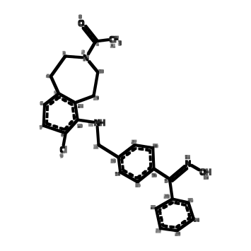 O=C(N1CCc2ccc(Cl)c(NCc3ccc(C(=NO)c4ccccc4)cc3)c2CC1)C(F)(F)F